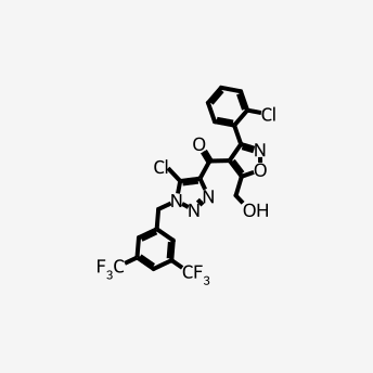 O=C(c1nnn(Cc2cc(C(F)(F)F)cc(C(F)(F)F)c2)c1Cl)c1c(-c2ccccc2Cl)noc1CO